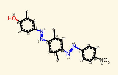 Cc1cc(N=Nc2cc(C)c(N=Nc3ccc([N+](=O)[O-])cc3)cc2C)ccc1O